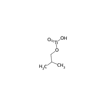 CC(C)C[O][Ti](=[O])[OH]